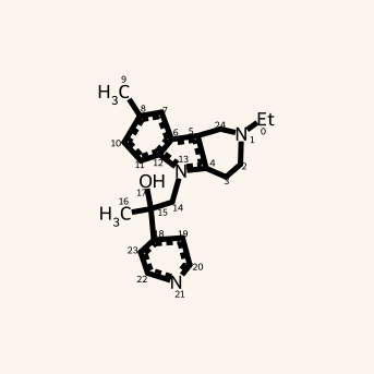 CCN1CCc2c(c3cc(C)ccc3n2CC(C)(O)c2ccncc2)C1